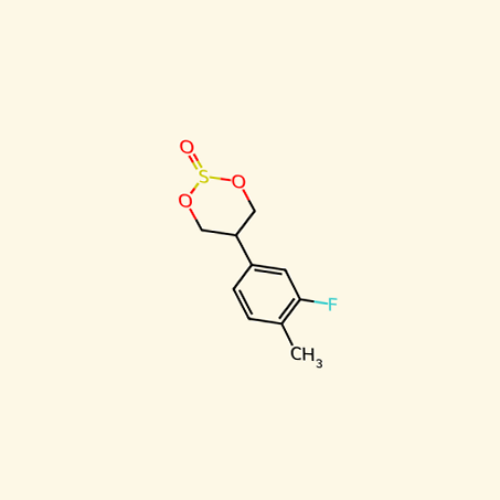 Cc1ccc(C2COS(=O)OC2)cc1F